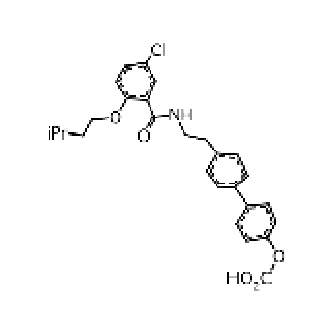 CC(C)CCOc1ccc(Cl)cc1C(=O)NCCc1ccc(-c2ccc(OC(=O)O)cc2)cc1